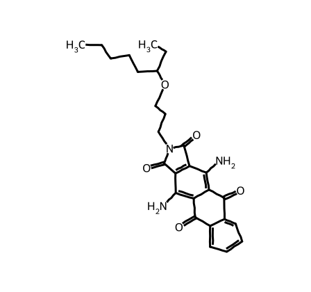 CCCCCC(CC)OCCCn1c(=O)c2c(N)c3c(=O)c4ccccc4c(=O)c3c(N)c2c1=O